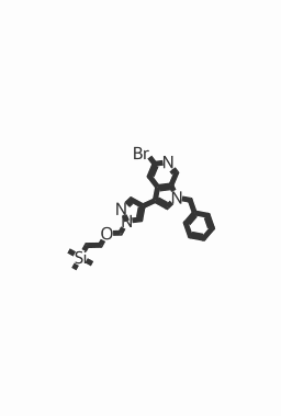 C[Si](C)(C)CCOCn1cc(-c2cn(Cc3ccccc3)c3cnc(Br)cc23)cn1